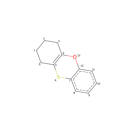 [CH]1CCCC2=C1Sc1ccccc1O2